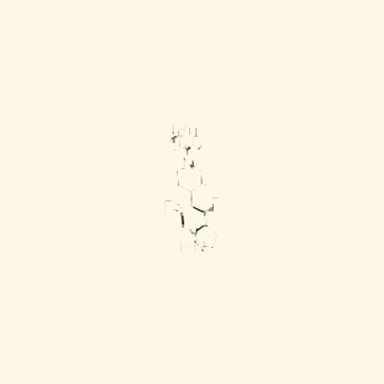 CC(C)(C)OC(=O)N1CCC(c2c(F)cc3c(c2F)CCN3)CC1